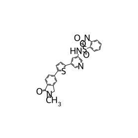 CN1Cc2cc(-c3ccc(-c4cncc(NS(=O)(=O)c5ccccc5[N+](=O)[O-])c4)s3)ccc2C1=O